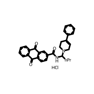 CCCC(NC(=O)c1ccc2c(c1)C(=O)c1ccccc1C2=O)N1CC=C(c2ccccc2)CC1.Cl